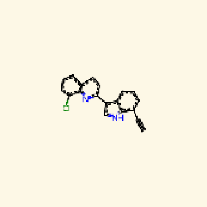 C#Cc1cccc2c(-c3ccc4cccc(Cl)c4n3)c[nH]c12